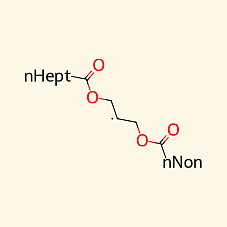 CCCCCCCCCC(=O)OC[CH]COC(=O)CCCCCCC